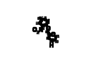 Cc1cnc(OCC2CNCCO2)c([N+](=O)[O-])c1